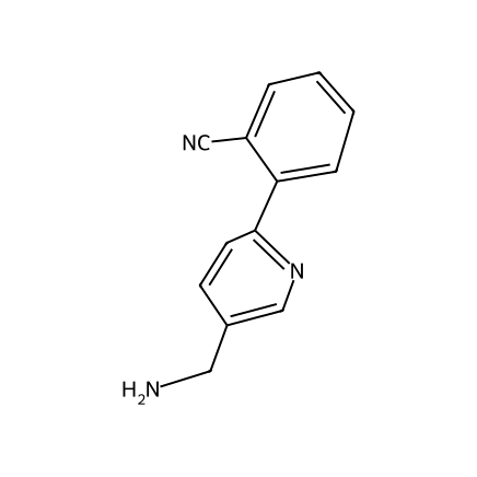 N#Cc1ccccc1-c1ccc(CN)cn1